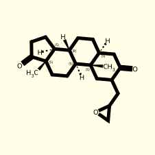 C[C@]12CC(CC3CO3)C(=O)C[C@@H]1CC[C@@H]1[C@@H]2CC[C@]2(C)C(=O)CC[C@@H]12